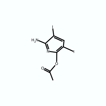 CC(=O)Oc1nc(N)c(I)cc1I